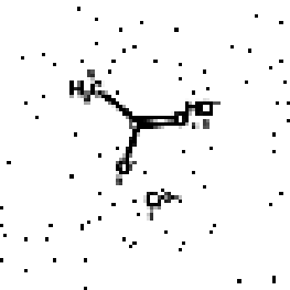 CC(=O)[O-].[Cr+3].[OH-]